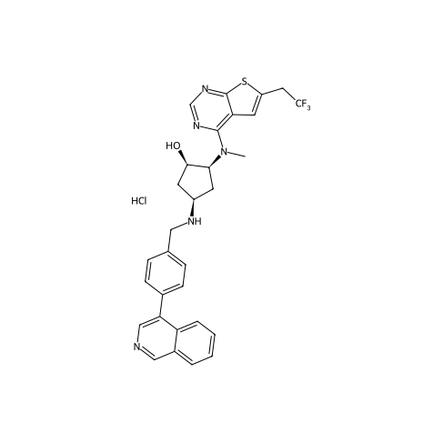 CN(c1ncnc2sc(CC(F)(F)F)cc12)[C@H]1C[C@@H](NCc2ccc(-c3cncc4ccccc34)cc2)C[C@H]1O.Cl